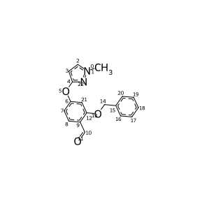 Cn1ccc(Oc2ccc(C=O)c(OCc3ccccc3)c2)n1